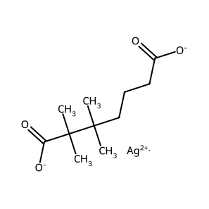 CC(C)(CCCC(=O)[O-])C(C)(C)C(=O)[O-].[Ag+2]